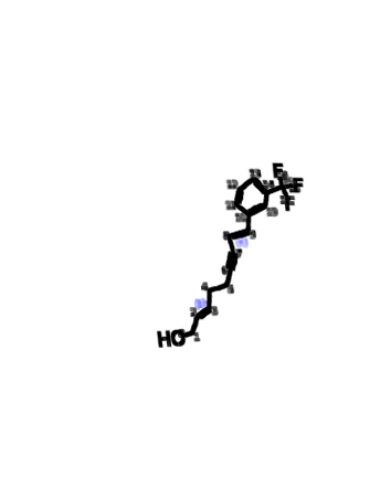 OC/C=C/CCC#C/C=C/c1cccc(C(F)(F)F)c1